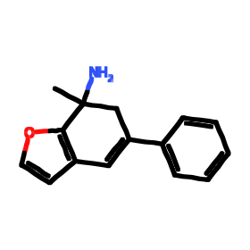 CC1(N)CC(c2ccccc2)=Cc2ccoc21